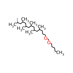 CCCCCOCOCCCC(C)CC(C)CC(C)CC(C)CC(C)CC(C)I